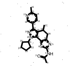 CC(=O)Nc1nc2c(s1)-c1c(c(-c3ccc(C)nc3)nn1C1CCCC1)C(C)C2